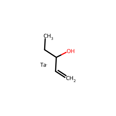 C=CC(O)CC.[Ta]